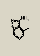 Nc1nsc2cccc(I)c12